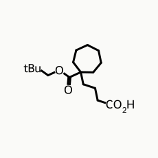 CC(C)(C)COC(=O)C1(CCCC(=O)O)CCCCCC1